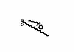 CCCCCCCCC=CCCCCCCCC(=O)[O-].CCCCCC[N+](C)(C)C1CCCCC1